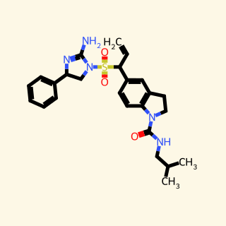 C=CC(c1ccc2c(c1)CCN2C(=O)NCC(C)C)S(=O)(=O)N1CC(c2ccccc2)N=C1N